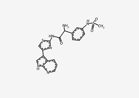 CS(=O)(=O)Nc1cccc(C(N)C(=O)Nc2nc(-c3c[nH]c4ncccc34)cs2)c1